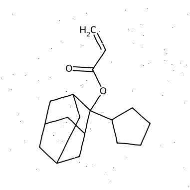 C=CC(=O)OC1(C2CCCC2)C2CC3CC(C2)CC1C3